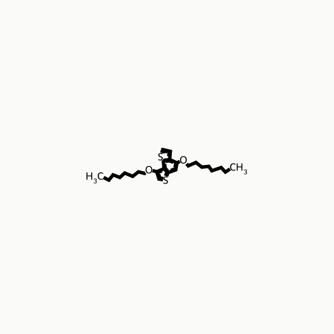 CCCCCCCCOc1cc2scc(OCCCCCCCC)c2c2sccc12